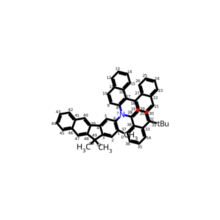 Cc1cc2c(cc1N(c1ccc3ccccc3c1-c1cccc3ccccc13)c1ccc(C(C)(C)C)c3ccccc13)-c1cc3ccccc3cc1C2(C)C